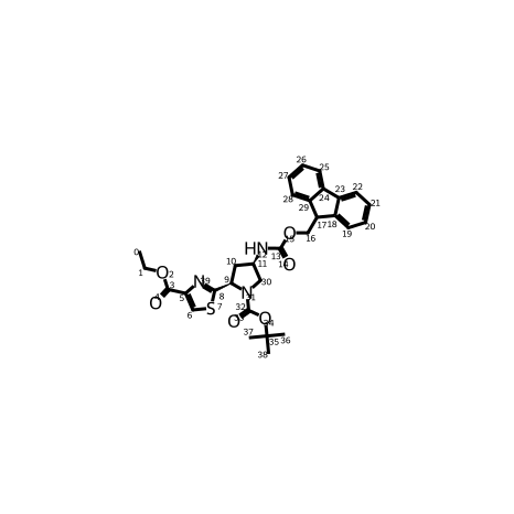 CCOC(=O)c1csc([C@H]2C[C@@H](NC(=O)OCC3c4ccccc4-c4ccccc43)CN2C(=O)OC(C)(C)C)n1